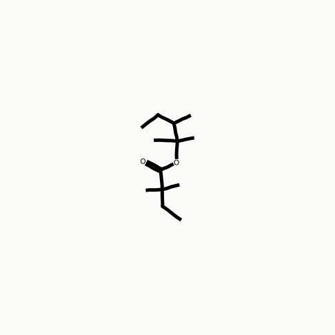 CCC(C)C(C)(C)OC(=O)C(C)(C)CC